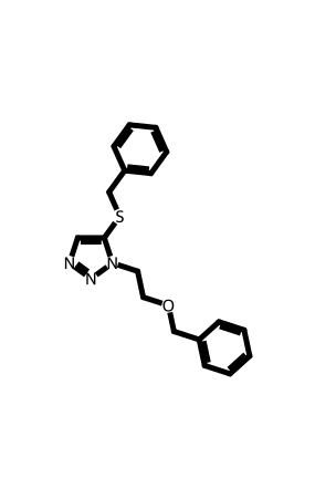 c1ccc(COCCn2nncc2SCc2ccccc2)cc1